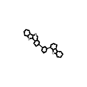 c1cc(-c2ccc3c(cnc4c5ccccc5sc34)c2)cc(-c2cccc3c2oc2ccccc23)c1